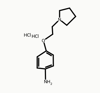 Cl.Cl.Nc1ccc(OCCN2CCCC2)cc1